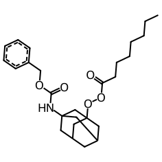 CCCCCCCC(=O)OOC12CC3CC(CC(NC(=O)OCc4ccccc4)(C3)C1)C2